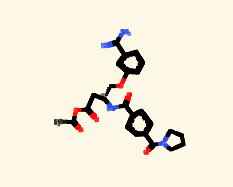 N=C(N)c1cccc(OC[C@@H](CC(=O)OC(=O)C(F)(F)F)NC(=O)c2ccc(C(=O)N3CCCC3)cc2)c1